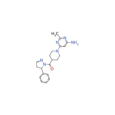 Cc1nc(N)cc(N2CCC(C(=O)N3N=CCC3c3ccccc3)CC2)n1